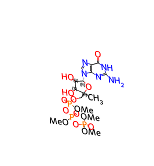 COP(=O)(OC)OP(=O)(OC)OP(=O)(OC)OC[C@@]1(C)O[C@@H](n2cnc3c(=O)[nH]c(N)nc32)[C@H](O)[C@@H]1O